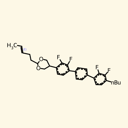 C/C=C/CCC1OCC(c2ccc(-c3ccc(-c4ccc(CCCC)c(F)c4F)cc3)c(F)c2F)CO1